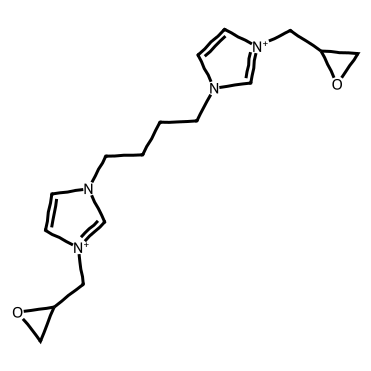 c1c[n+](CC2CO2)cn1CCCCn1cc[n+](CC2CO2)c1